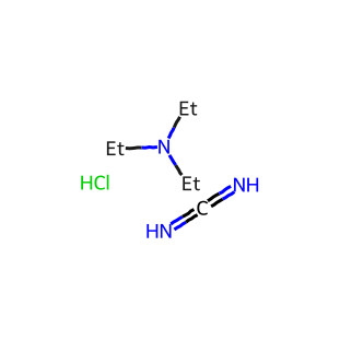 CCN(CC)CC.Cl.N=C=N